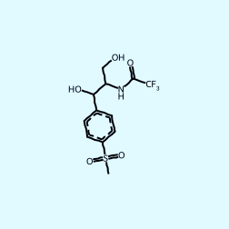 CS(=O)(=O)c1ccc(C(O)C(CO)NC(=O)C(F)(F)F)cc1